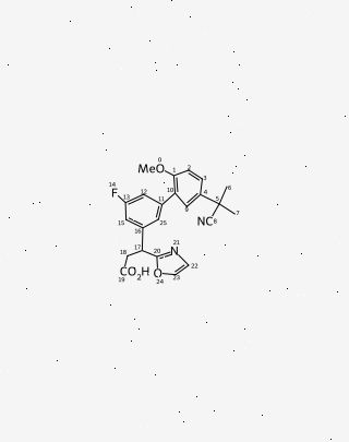 COc1ccc(C(C)(C)C#N)cc1-c1cc(F)cc(C(CC(=O)O)c2ncco2)c1